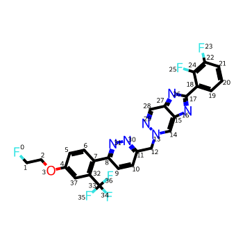 FCCOc1ccc(-c2ccc(Cn3cc4nc(-c5cccc(F)c5F)nc-4cn3)nn2)c(C(F)(F)F)c1